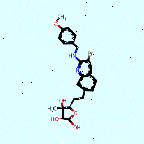 COc1ccc(CNc2nc3cc(CC[C@H]4OC(O)[C@H](O)[C@]4(C)O)ccc3cc2Br)cc1